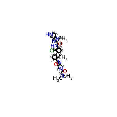 Cc1c(-c2nc3c(o2)CN(C(=O)CN(C)C)C3)cccc1-c1cccc(NC(=O)c2nc3c(n2C)CCNC3)c1Cl